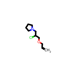 C=CCOCC(Cl)CN1CCCC1